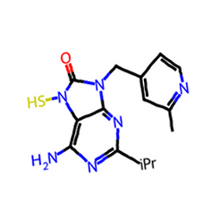 Cc1cc(Cn2c(=O)n(S)c3c(N)nc(C(C)C)nc32)ccn1